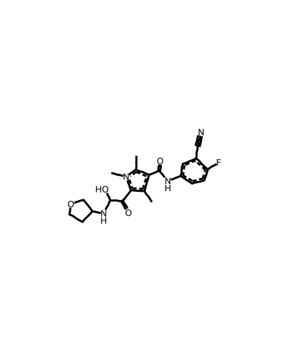 Cc1c(C(=O)Nc2ccc(F)c(C#N)c2)c(C)n(C)c1C(=O)C(O)NC1CCOC1